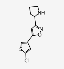 Clc1cc(-c2cc([C@H]3CCCN3)no2)cs1